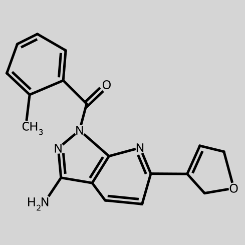 Cc1ccccc1C(=O)n1nc(N)c2ccc(C3=CCOC3)nc21